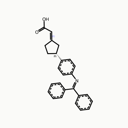 O=C(O)/C=C1\CC[C@@H](c2ccc(N=C(c3ccccc3)c3ccccc3)cc2)C1